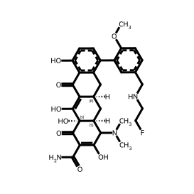 COc1ccc(CNCCF)cc1-c1ccc(O)c2c1C[C@H]1C[C@H]3C(N(C)C)C(O)=C(C(N)=O)C(=O)[C@@]3(O)C(O)=C1C2=O